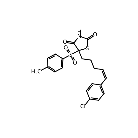 Cc1ccc(S(=O)(=O)C2(CCC/C=C\c3ccc(Cl)cc3)SC(=O)NC2=O)cc1